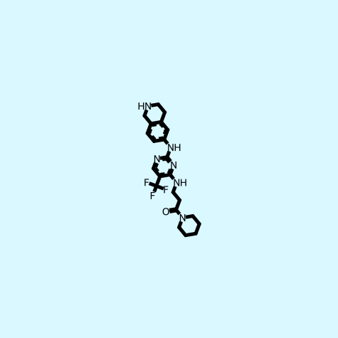 O=C(CCNc1nc(Nc2ccc3c(c2)CCNC3)ncc1C(F)(F)F)N1CCCCC1